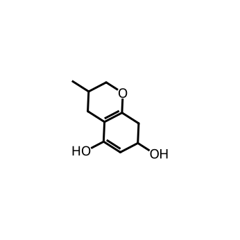 CC1COC2=C(C1)C(O)=CC(O)C2